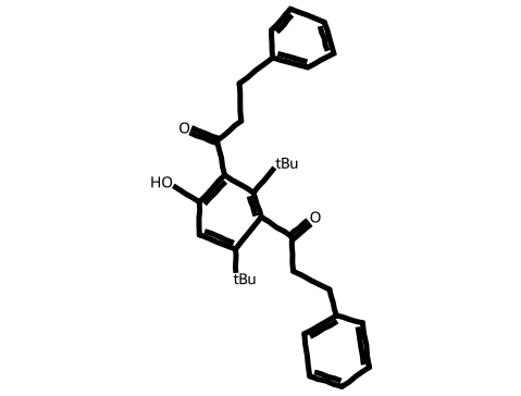 CC(C)(C)c1cc(O)c(C(=O)CCc2ccccc2)c(C(C)(C)C)c1C(=O)CCc1ccccc1